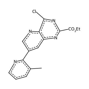 CCOC(=O)c1nc(Cl)c2ncc(-c3ncccc3C)cc2n1